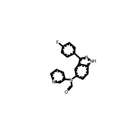 O=CN(c1cccnc1)c1ccc2[nH]nc(-c3ccc(F)cc3)c2c1